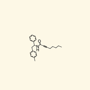 CCCCCC#CC(=O)NC(Cc1ccc(C)cc1)c1ccccc1